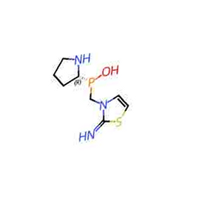 N=c1sccn1CP(O)[C@@H]1CCCN1